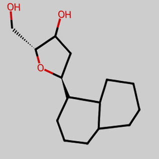 OC[C@H]1O[C@H](C2CCCC3CCCCC32)CC1O